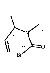 C=CC(C)N(C)C(=O)Br